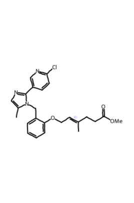 COC(=O)CC/C(C)=C/COc1ccccc1Cn1c(C)cnc1-c1ccc(Cl)nc1